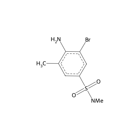 CNS(=O)(=O)c1cc(C)c(N)c(Br)c1